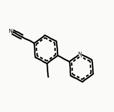 Cc1cc(C#N)ccc1-c1ccccn1